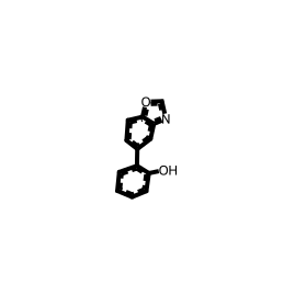 Oc1ccccc1-c1ccc2ocnc2c1